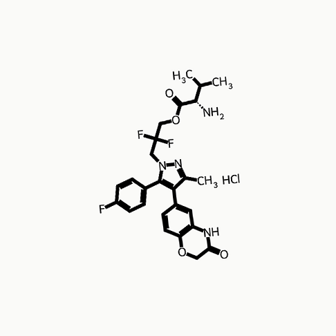 Cc1nn(CC(F)(F)COC(=O)[C@@H](N)C(C)C)c(-c2ccc(F)cc2)c1-c1ccc2c(c1)NC(=O)CO2.Cl